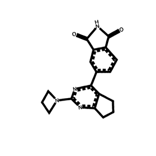 O=C1NC(=O)c2cc(-c3nc(N4CCC4)nc4c3CCC4)ccc21